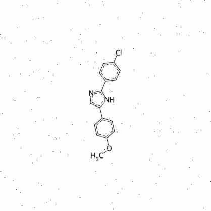 COc1ccc(-c2cnc(-c3ccc(Cl)cc3)[nH]2)cc1